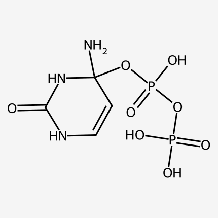 NC1(OP(=O)(O)OP(=O)(O)O)C=CNC(=O)N1